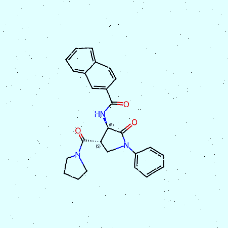 O=C(N[C@H]1C(=O)N(c2ccccc2)C[C@@H]1C(=O)N1CCCC1)c1ccc2ccccc2c1